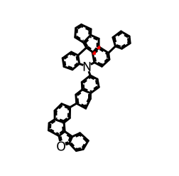 c1ccc(-c2ccc(N(c3ccc4ccc(-c5ccc6ccc7oc8ccccc8c7c6c5)cc4c3)c3ccccc3-c3cccc4ccccc34)cc2)cc1